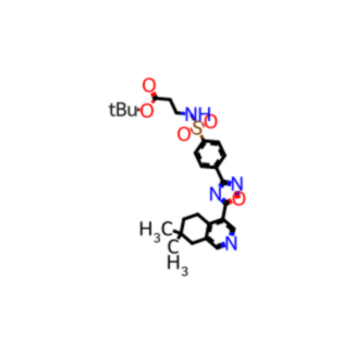 CC1(C)CCc2c(cncc2-c2nc(-c3ccc(S(=O)(=O)NCCC(=O)OC(C)(C)C)cc3)no2)C1